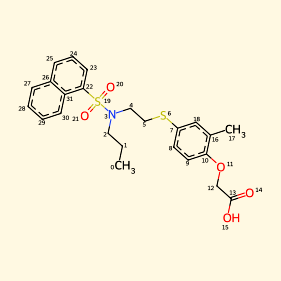 CCCN(CCSc1ccc(OCC(=O)O)c(C)c1)S(=O)(=O)c1cccc2ccccc12